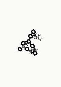 CC1(C)c2ccccc2-c2ccc(-c3cc(-c4ccc(Br)cc4)c4sc5c(N(c6ccccc6)c6ccc(-n7nc8ccccc8n7)cc6)cccc5c4c3)cc21